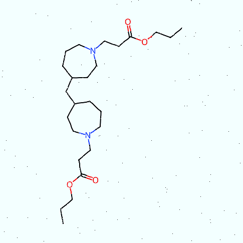 CCCOC(=O)CCN1CCCC(CC2CCCN(CCC(=O)OCCC)CC2)CC1